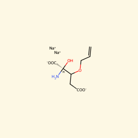 C=CCOC(CC(=O)[O-])[C@@](N)(O)C(=O)[O-].[Na+].[Na+]